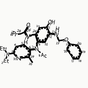 CCN(CC)c1ccc(N(C(C)=O)c2cc(NCOc3ccccc3)c(O)cc2NC(=O)C(C)C)c(C)n1